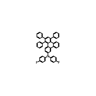 Fc1ccc(N(c2ccc(F)cc2)c2ccc3c(c2)c2ccccc2c2c(-c4ccccc4)cc(-c4ccccc4)c(-c4ccccc4)c32)cc1